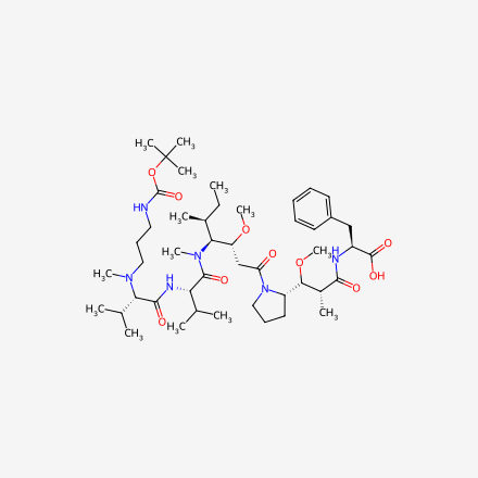 CC[C@H](C)[C@@H]([C@@H](CC(=O)N1CCC[C@H]1C(OC)[C@@H](C)C(=O)N[C@@H](Cc1ccccc1)C(=O)O)OC)N(C)C(=O)[C@@H](NC(=O)[C@H](C(C)C)N(C)CCCNC(=O)OC(C)(C)C)C(C)C